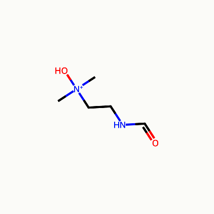 C[N+](C)(O)CCNC=O